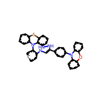 C1=C(c2ccc(N3c4ccccc4Oc4ccccc43)cc2)NNN1c1ccccc1N1c2ccccc2Sc2ccccc21